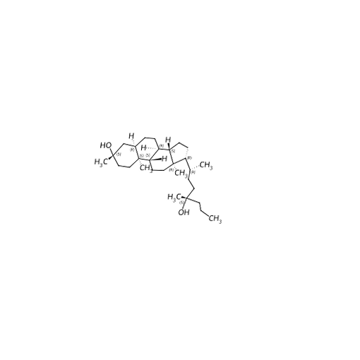 CCC[C@](C)(O)CC[C@@H](C)[C@H]1CC[C@H]2[C@@H]3CC[C@@H]4C[C@@](C)(O)CC[C@]4(C)[C@H]3CC[C@]12C